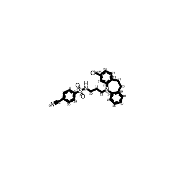 N#Cc1ccc(S(=O)(=O)NCCCN2c3ccccc3CCc3ccc(Cl)cc32)cc1